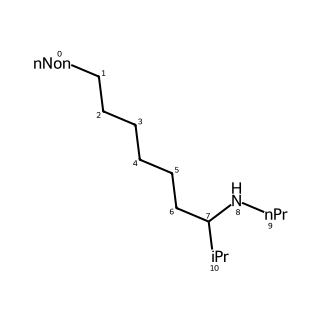 CCCCCCCCCCCCCCCC(NCCC)C(C)C